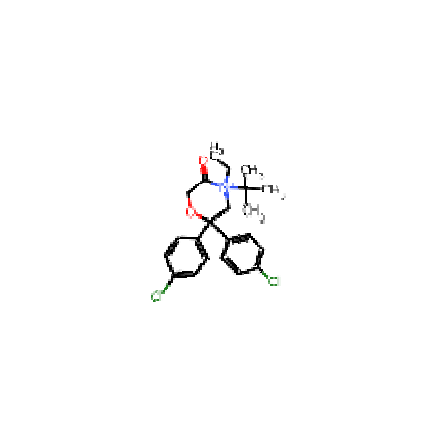 CC[N+]1(C(C)(C)C)CC(c2ccc(Cl)cc2)(c2ccc(Cl)cc2)OCC1=O